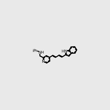 CC(C)NCc1cc(/C=C/C=C/c2cc3ccccc3[nH]2)ccn1